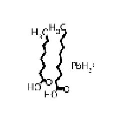 CCCCCCCC(=O)O.CCCCCCCCCC(=O)O.[PbH2]